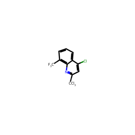 FC(F)(F)c1cccc2c(Cl)cc(C(Cl)(Cl)Cl)nc12